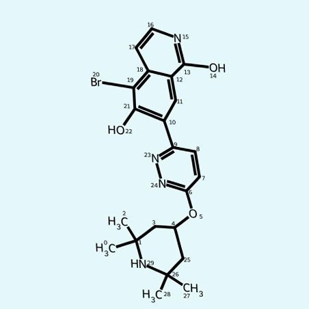 CC1(C)CC(Oc2ccc(-c3cc4c(O)nccc4c(Br)c3O)nn2)CC(C)(C)N1